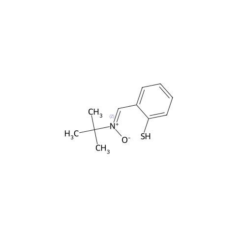 CC(C)(C)/[N+]([O-])=C/c1ccccc1S